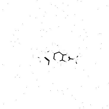 CCCCO[C@@H]1[C@H]2N=C(N(C)C)S[C@H]2O[C@H](C(C)=C[S+]([O-])C(C)(C)C)[C@H]1OCCCC